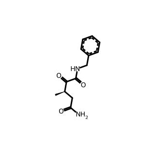 C[C@H](CC(N)=O)C(=O)C(=O)NCc1ccccc1